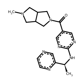 C[C@H](Nc1ncc(C(=O)N2CC3CN(C)CC3C2)cn1)c1cnccn1